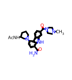 CC(=O)NC1CCCN(c2ccc(C(N)=O)c3[nH]c4cc(C(=O)N5CCN(C)CC5)ccc4c23)C1